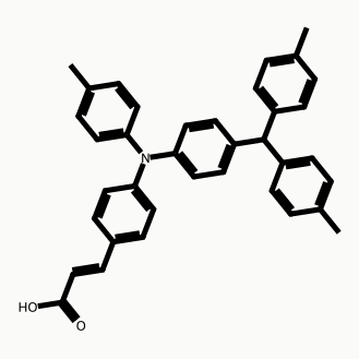 Cc1ccc(C(c2ccc(C)cc2)c2ccc(N(c3ccc(C)cc3)c3ccc(/C=C/C(=O)O)cc3)cc2)cc1